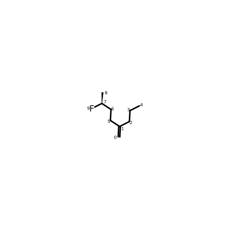 C=C(CCC)CC[C@H](C)F